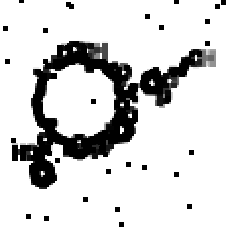 CO[C@@H]1C[C@H](C[C@@H](C)[C@@H]2CC(=O)[C@H](C)/C=C(\C)[C@@H](O)[C@@H](OC)C(=O)[C@H](C)C[C@H](C)/C=C/C=C/C=C(\C)C(OC[C@@H](O)c3ccccc3)C[C@@H]3CC[C@@H](C)[C@@](O)(O3)C(=O)C(=O)N3CCCCC3C(=O)O2)CC[C@H]1OCCCO